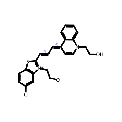 [O-]CC[n+]1c(/C=C/C=C2\C=CN(CCO)c3ccccc32)sc2ccc(Cl)cc21